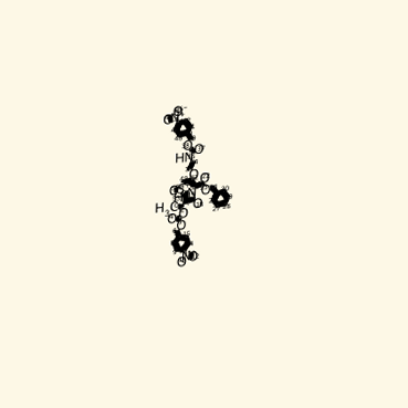 CC(OC(=O)OCc1ccc([N+](=O)[O-])cc1)[C@H]1C(=O)N2C(C(=O)OCc3ccccc3)=C(OCCNC(=O)OCc3ccc([N+](=O)[O-])cc3)C[S+]([O-])[C@H]12